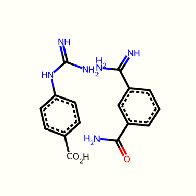 N=C(N)Nc1ccc(C(=O)O)cc1.N=C(N)c1cccc(C(N)=O)c1